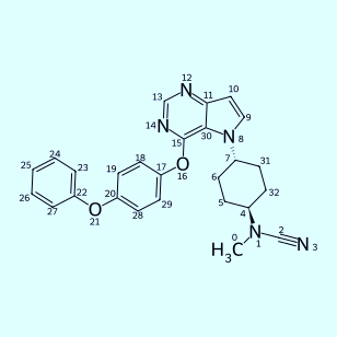 CN(C#N)[C@H]1CC[C@H](n2ccc3ncnc(Oc4ccc(Oc5ccccc5)cc4)c32)CC1